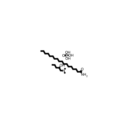 CCCC(O)CN(C)C.CCCCCCCCCCCCCCCCCC(N)=O.O=P(O)(O)O